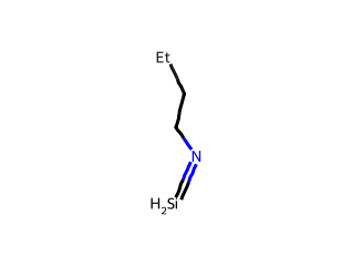 CCCCN=[SiH2]